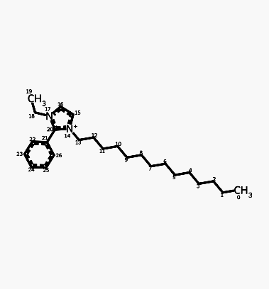 CCCCCCCCCCCCCC[n+]1ccn(CC)c1-c1ccccc1